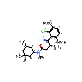 CCC1(C#N)CC(C)CC(N(C(=O)CC(C)C(=N)c2c(NC)ccc(OC)c2Cl)C(C)C)C1